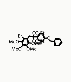 CCOC(=O)C(Cc1c(Br)c(OC)c(OC)c(OC)c1OC)(C(=O)OCC)c1ccc(OCc2ccccc2)cc1